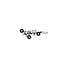 CN(C(=O)COc1ccccc1N(CC(C)(C)C)C(=O)CNC(=O)Nc1cccc(CC(=O)O)c1)c1ccccc1